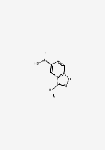 CNc1noc2ccc(B(C)O)cc12